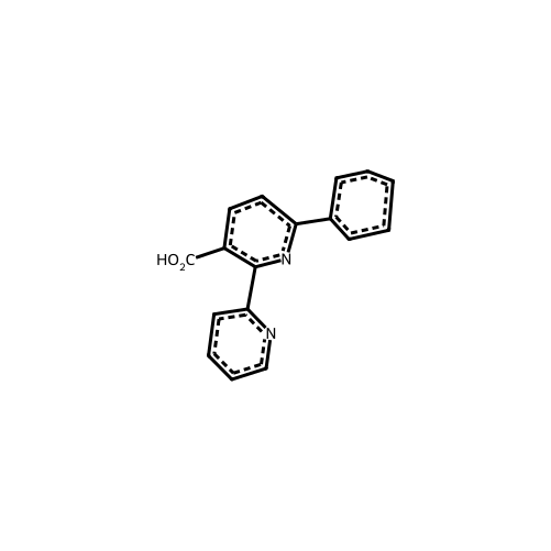 O=C(O)c1ccc(-c2ccccc2)nc1-c1ccccn1